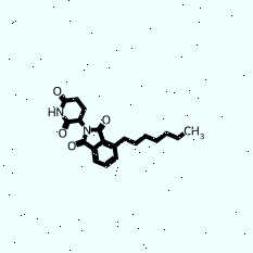 CCCCCCCc1cccc2c1C(=O)N(C1CCC(=O)NC1=O)C2=O